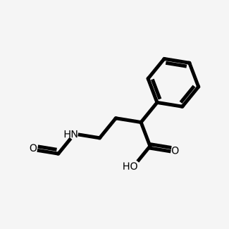 O=CNCCC(C(=O)O)c1ccccc1